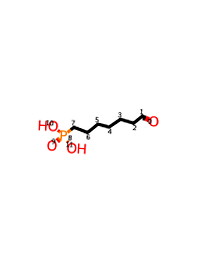 O=CCCCCCCP(=O)(O)O